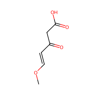 COC=CC(=O)CC(=O)O